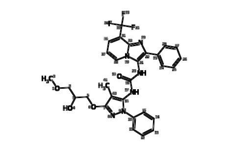 COCC(O)COc1nn(-c2ccccc2)c(NC(=O)Nc2c(-c3ccccc3)nc3c(C(F)(F)F)cccn23)c1C